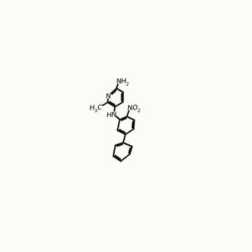 Cc1nc(N)ccc1Nc1cc(-c2ccccc2)ccc1[N+](=O)[O-]